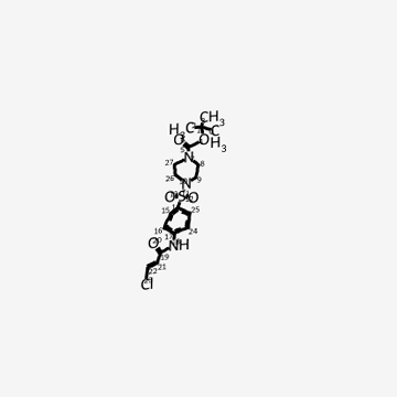 CC(C)(C)OC(=O)N1CCN(S(=O)(=O)c2ccc(NC(=O)C=CCl)cc2)CC1